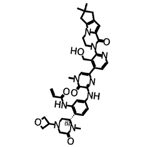 C=CC(=O)Nc1cc(Nc2nc(-c3ccnc(N4CCn5c(cc6c5CC(C)(C)C6)C4=O)c3CO)cn(C)c2=O)ccc1[C@H]1CN(C2COC2)CC(=O)N1C